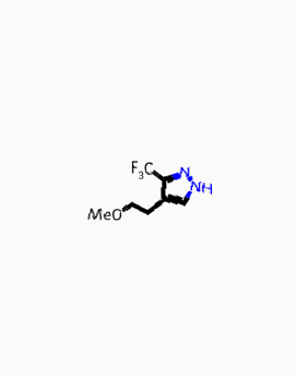 COCCc1c[nH]nc1C(F)(F)F